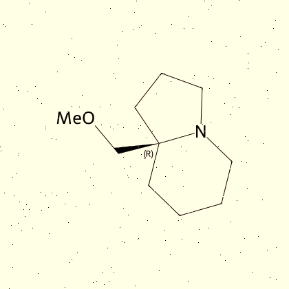 COC[C@]12CCCCN1CCC2